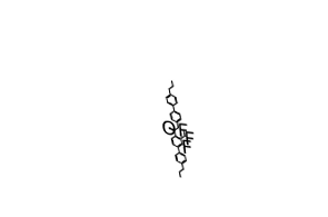 CCCc1ccc(-c2ccc(CC(=O)c3ccc(-c4ccc(CCC)cc4)c(F)c3C(F)F)cc2)cc1